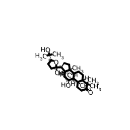 CC(C)(O)[C@H]1CC[C@@](C)([C@H]2CC[C@]3(C)[C@@H]2C[C@@H](O)[C@@H]2[C@@]4(C)CCC(=O)C(C)(C)[C@@H]4CC[C@]23C)O1